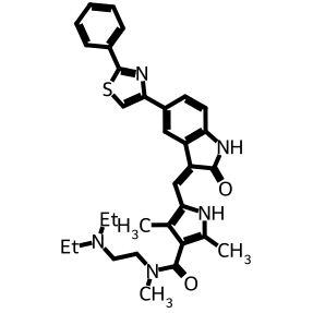 CCN(CC)CCN(C)C(=O)c1c(C)[nH]c(C=C2C(=O)Nc3ccc(-c4csc(-c5ccccc5)n4)cc32)c1C